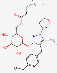 CCCC(=O)OC[C@H]1O[C@@H](Oc2nn(C3CCOC3)c(C)c2Cc2ccc(CC)cc2)[C@H](O)[C@@H](O)[C@@H]1O